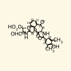 Cc1cc(C(=O)N[C@H]2CC(=O)c3ccccc3N(CC(=O)N[C@H](C=O)CC(=O)O)C2=O)cc(C)c1O